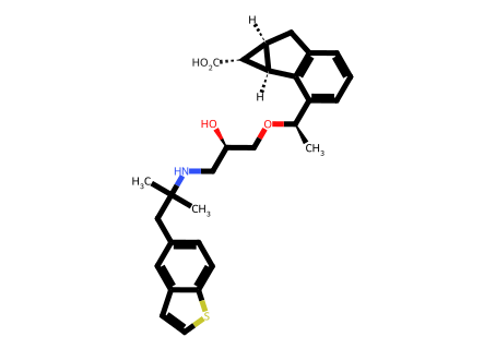 C[C@@H](OC[C@H](O)CNC(C)(C)Cc1ccc2sccc2c1)c1cccc2c1[C@@H]1[C@H](C2)[C@H]1C(=O)O